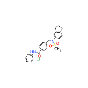 CS(=O)(=O)N(Cc1ccc(C(=O)Nc2ccccc2Cl)cc1)c1ccc2c(c1)CCC2